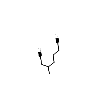 CC(CC#N)CCCC#N